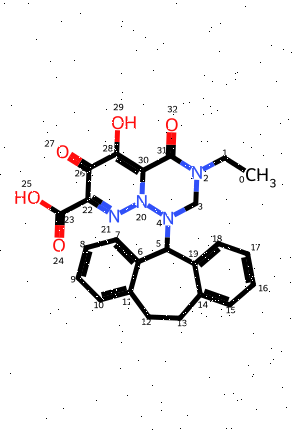 CCN1CN(C2c3ccccc3CCc3ccccc32)n2nc(C(=O)O)c(=O)c(O)c2C1=O